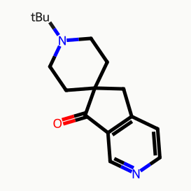 CC(C)(C)N1CCC2(CC1)Cc1ccncc1C2=O